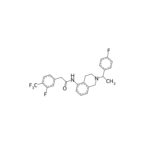 CC(c1ccc(F)cc1)N1CCc2c(cccc2NC(=O)Cc2ccc(C(F)(F)F)c(F)c2)C1